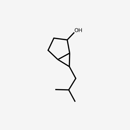 CC(C)CC1C2CCC(O)C21